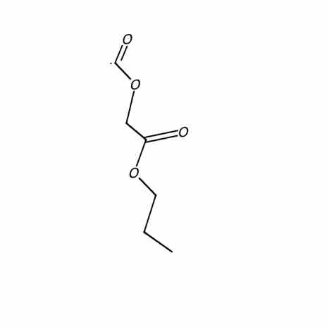 CCCOC(=O)CO[C]=O